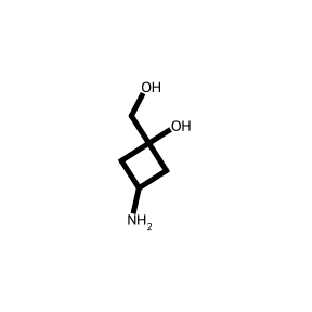 NC1CC(O)(CO)C1